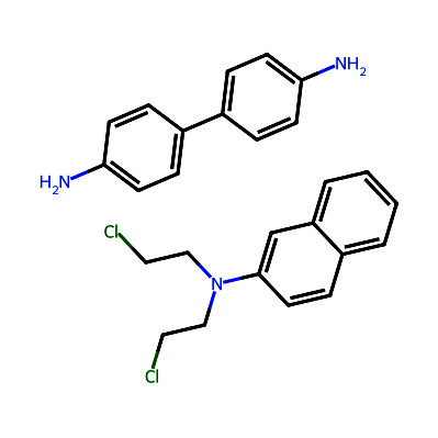 ClCCN(CCCl)c1ccc2ccccc2c1.Nc1ccc(-c2ccc(N)cc2)cc1